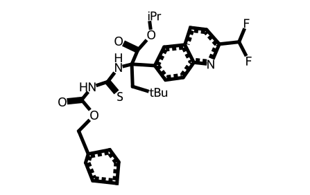 CC(C)OC(=O)C(CC(C)(C)C)(NC(=S)NC(=O)OCc1ccccc1)c1ccc2nc(C(F)F)ccc2c1